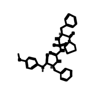 COc1ccc(N(C)C(=O)[C@H](Cc2ccccc2)NC(=O)NS(=O)(=O)N[C@@H](Cc2ccccc2)C(=O)N2CCCC2)cc1